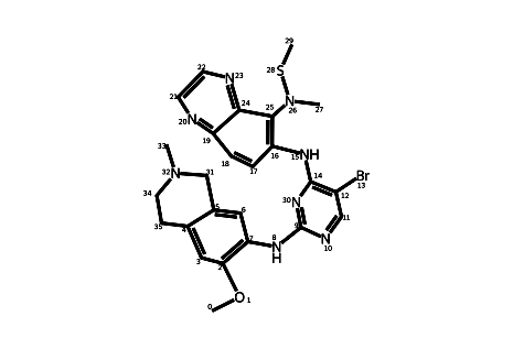 COc1cc2c(cc1Nc1ncc(Br)c(Nc3ccc4nccnc4c3N(C)SC)n1)CN(C)CC2